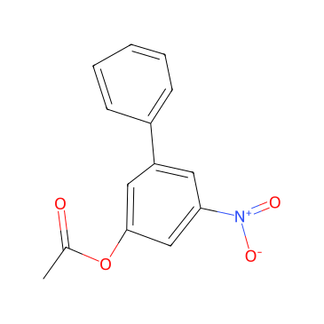 CC(=O)Oc1cc(-c2ccccc2)cc([N+](=O)[O-])c1